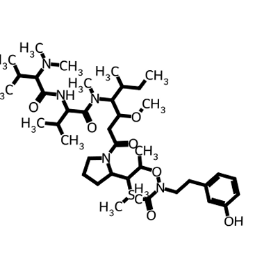 CCC(C)C(C(CC(=O)N1CCCC1C(SC)C(C)ON(CCc1cccc(O)c1)C(C)=O)OC)N(C)C(=O)C(NC(=O)C(C(C)C)N(C)C)C(C)C